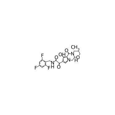 C[C@@H]1CCO[C@H]2Cn3cc(C(=O)C(=O)NCc4c(F)cc(F)cc4F)c(O)c3C(=O)N12